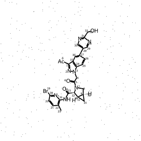 CC(=O)c1nn(CC(=O)N2C[C@H]3C[C@H]3[C@H]2C(=O)Nc2nc(Br)ccc2C)c2ccc(-c3cnc(CO)nc3)cc12